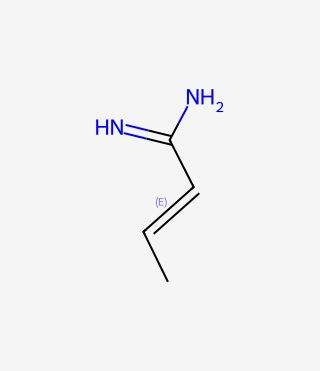 C/C=C/C(=N)N